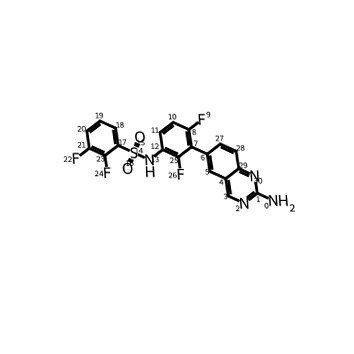 Nc1ncc2cc(-c3c(F)ccc(NS(=O)(=O)c4cccc(F)c4F)c3F)ccc2n1